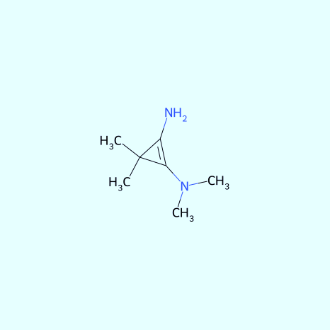 CN(C)C1=C(N)C1(C)C